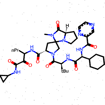 CCCC(NC(=O)[C@@H]1CC2(CN1C(=O)[C@@H](NC(=O)[C@@H](NC(=O)c1cnccn1)C1CCCCC1)C(C)(C)C)N(C)C(=O)[C@H]1CCCN12)C(=O)C(=O)NC1CC1